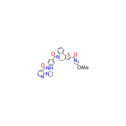 COC1CN(C(=O)c2cc3c(s2)-c2ccccc2N(C(=O)c2ccc(NC(=O)c4cccnc4N4CCCC4)cc2)CC3)C1